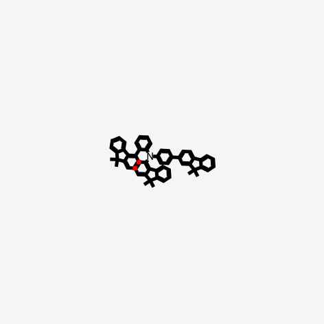 CC1(C)c2ccccc2-c2ccc(-c3ccc(N(c4ccccc4-c4cccc5c4-c4ccccc4C5(C)C)c4cccc5c4-c4ccccc4C5(C)C)cc3)cc21